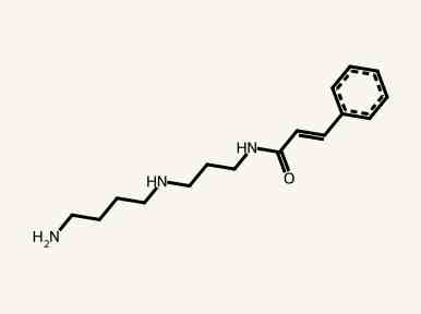 NCCCCNCCCNC(=O)C=Cc1ccccc1